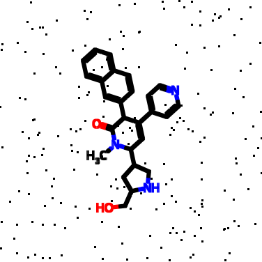 CN1C(=O)C(c2ccc3ccccc3c2)C(c2ccncc2)=CC1C1CNC(CO)C1